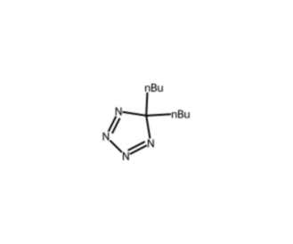 CCCCC1(CCCC)N=NN=N1